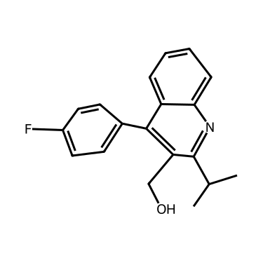 CC(C)c1nc2ccccc2c(-c2ccc(F)cc2)c1CO